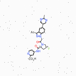 CC(=O)c1nn(CC(=O)N2C[C@H](F)C[C@H]2C(=O)Nc2ccnc(C(=O)O)c2)c2ccc(-c3cnc(C)nc3)cc12